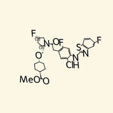 COC(=O)[C@H]1CC[C@H](OC[C@@H]2C[C@H](F)CN2C(=O)Cc2cc(Cl)c(Nc3nc4cc(F)ccc4s3)cc2F)CC1